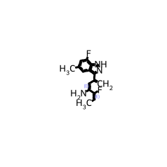 C=C(/C=C(N)\C(F)=C/C)c1n[nH]c2c(F)cc(C)cc12